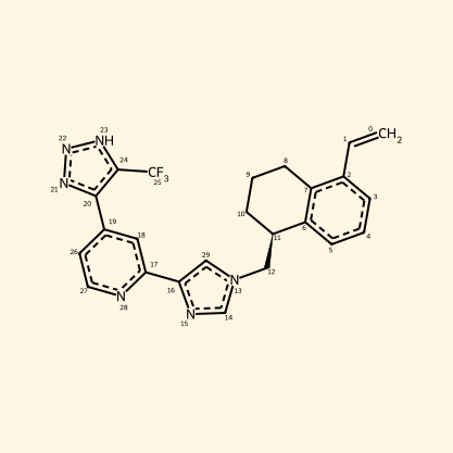 C=Cc1cccc2c1CCC[C@@H]2Cn1cnc(-c2cc(-c3nn[nH]c3C(F)(F)F)ccn2)c1